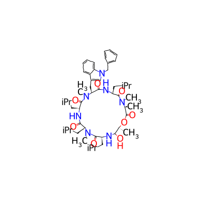 CC(C)C[C@@H]1NC(=O)[C@H](Cc2cn(Cc3ccccc3)c3ccccc23)N(C)C(=O)[C@H](CC(C)C)NC(=O)[C@H](CC(C)C)N(C)C(=O)[C@H](CC(C)C)NC(O)[C@@H](C)OC(=O)[C@H](C)N(C)C1=O